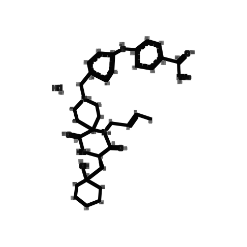 C/C=C/CN1C(=O)[C@@H](CC2(O)CCCCC2)NC(=O)C12CCN(Cc1ccc(Oc3ccc(C(=O)NC)cc3)cc1)CC2.Cl